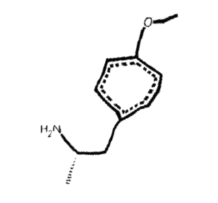 COc1ccc(C[C@H](C)N)cc1